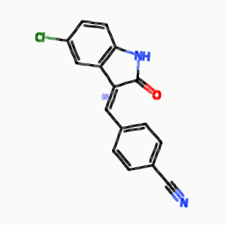 N#Cc1ccc(/C=C2\C(=O)Nc3ccc(Cl)cc32)cc1